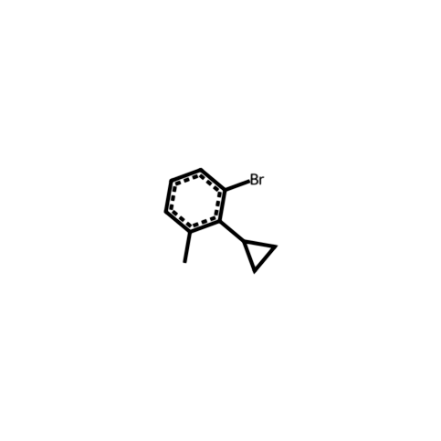 Cc1cccc(Br)c1C1CC1